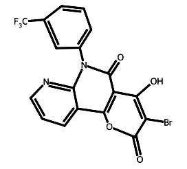 O=c1oc2c(c(O)c1Br)c(=O)n(-c1cccc(C(F)(F)F)c1)c1ncccc21